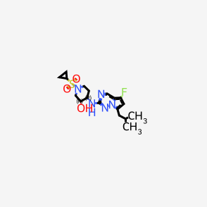 CC(C)Cc1cc(F)c2cnc(N[C@@H]3CCN(S(=O)(=O)C4CC4)C[C@H]3O)nn12